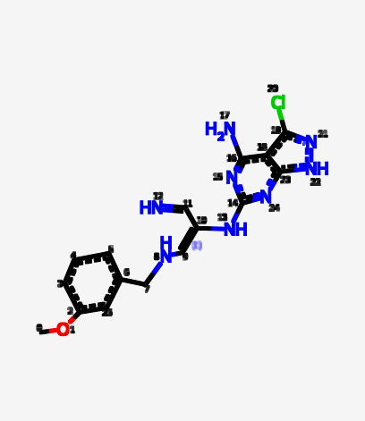 COc1cccc(CN/C=C(\C=N)Nc2nc(N)c3c(Cl)n[nH]c3n2)c1